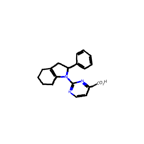 O=C(O)c1ccnc(N2C3=C(CCCC3)CC2c2ccccc2)n1